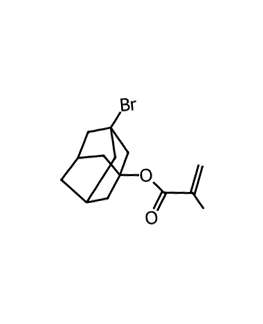 C=C(C)C(=O)OC12CC3CC(CC(Br)(C3)C1)C2